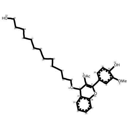 COc1cc(C2=C(OC(C)=O)C(OCCCCCCCCCCCCCO)c3ccccc3O2)ccc1O